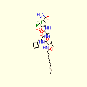 CCCCCCCCCC(=O)N[C@H](C(=O)N[C@@H](Cc1ccccc1)C(=O)N[C@@H](C)C(=O)N[C@@H](CCC(N)=O)C(O)C(F)(F)F)C(C)C